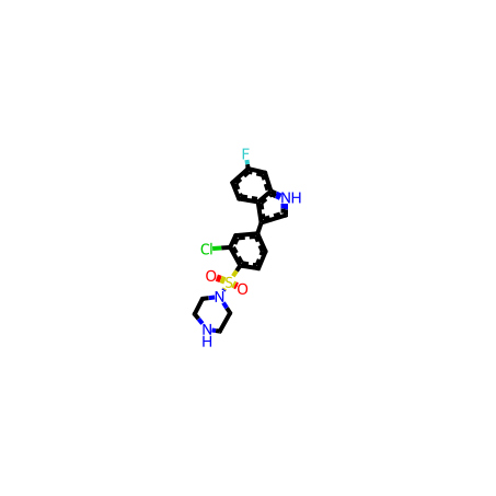 O=S(=O)(c1ccc(-c2c[nH]c3cc(F)ccc23)cc1Cl)N1CCNCC1